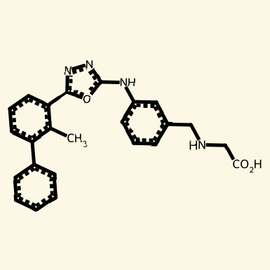 Cc1c(-c2ccccc2)cccc1-c1nnc(Nc2cccc(CNCC(=O)O)c2)o1